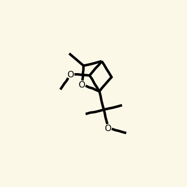 COC1C2CC1(C(C)(C)OC)OC2C